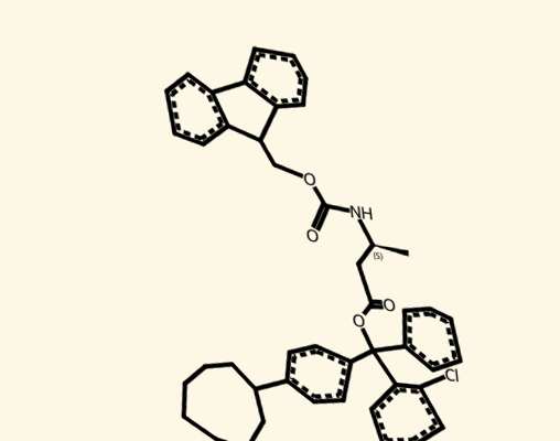 C[C@@H](CC(=O)OC(c1ccccc1)(c1ccc(C2CCCCCCC2)cc1)c1ccccc1Cl)NC(=O)OCC1c2ccccc2-c2ccccc21